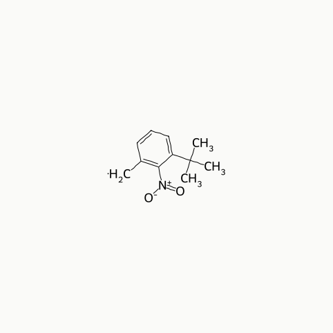 [CH2]c1cccc(C(C)(C)C)c1[N+](=O)[O-]